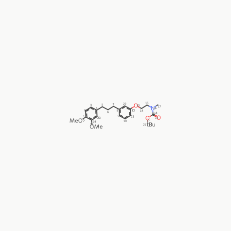 COc1ccc(CCCc2cccc(OCCN(C)C(=O)OC(C)(C)C)c2)cc1OC